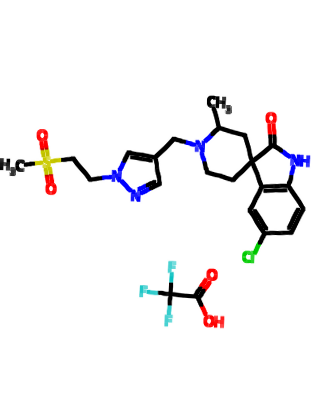 CC1CC2(CCN1Cc1cnn(CCS(C)(=O)=O)c1)C(=O)Nc1ccc(Cl)cc12.O=C(O)C(F)(F)F